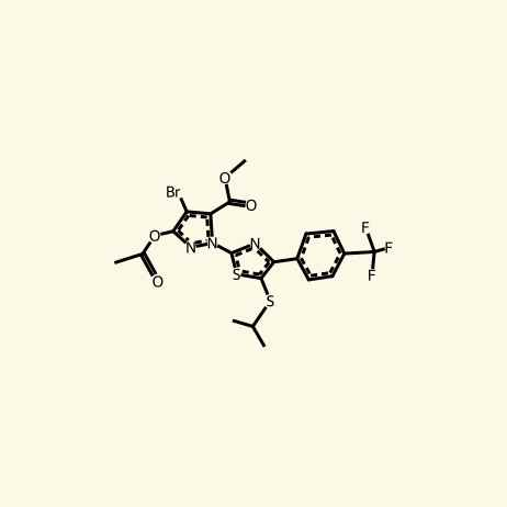 COC(=O)c1c(Br)c(OC(C)=O)nn1-c1nc(-c2ccc(C(F)(F)F)cc2)c(SC(C)C)s1